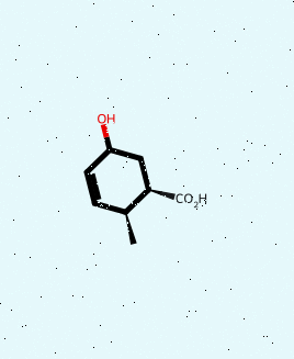 C[C@H]1C=CC(O)C[C@H]1C(=O)O